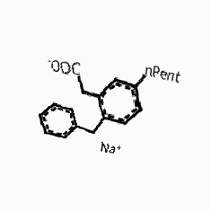 CCCCCc1ccc(Cc2ccccc2)c(CC(=O)[O-])c1.[Na+]